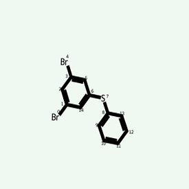 Brc1[c]c(Br)cc(Sc2ccccc2)c1